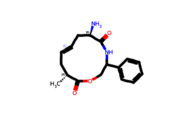 C[C@@H]1C/C=C/C[C@@H](N)C(=O)NC(c2ccccc2)COC1=O